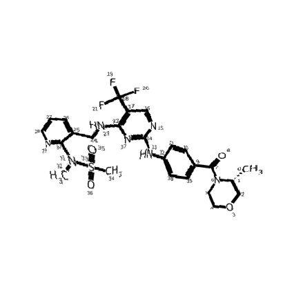 C[C@@H]1COCCN1C(=O)c1ccc(Nc2ncc(C(F)(F)F)c(NCc3cccnc3N(C)S(C)(=O)=O)n2)cc1